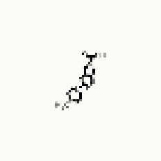 CN1CCN(c2ncc3c(n2)CN(C(=O)O)C3)CC1